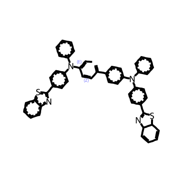 C=C(/C=C\C(=C/C)N(c1ccccc1)c1ccc(-c2nc3ccccc3s2)cc1)c1ccc(N(c2ccccc2)c2ccc(C3=NC4C=CC=CC4S3)cc2)cc1